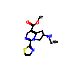 CNNC1CC2=C(C(=O)OC(C)C)CN=C(c3nccs3)N2C1